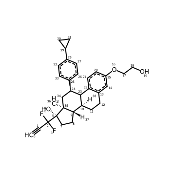 C#CC(F)(F)[C@]1(O)CC[C@H]2[C@@H]3CCc4cc(OCCO)ccc4C3[C@H](c3ccc(C4CC4)cc3)C[C@@]21C